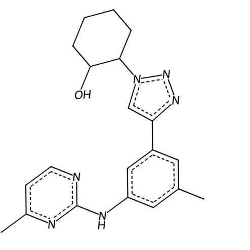 Cc1cc(Nc2nccc(C)n2)cc(-c2cn(C3CCCCC3O)nn2)c1